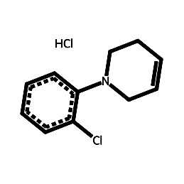 Cl.Clc1ccccc1N1CC=CCC1